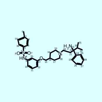 Cc1ccc(S(=O)(=O)Nc2cccc(OCC3CCN(CCC(N)(c4ccccc4)C(C)C)CC3)c2)cc1